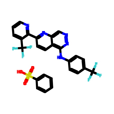 FC(F)(F)c1ccc(Nc2nncc3nc(-c4ncccc4C(F)(F)F)ccc23)cc1.O=S(=O)(O)c1ccccc1